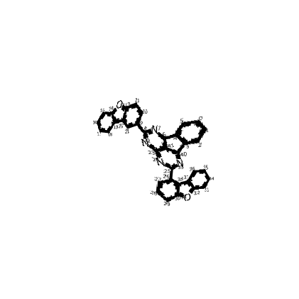 c1ccc2c(c1)-c1nc(-c3ccc4oc5ccccc5c4c3)nc3nc(-c4cccc5oc6ccccc6c45)nc-2c13